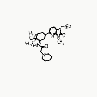 Cn1c(=O)n(CC(C)(C)C)c2ccc(C3CCC(C)(C)C(NC(=O)CN4CCCCC4)C3)nc21